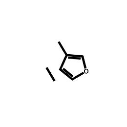 CC.Cc1ccoc1